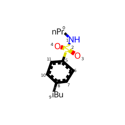 CCCNS(=O)(=O)c1ccc(C(C)CC)cc1